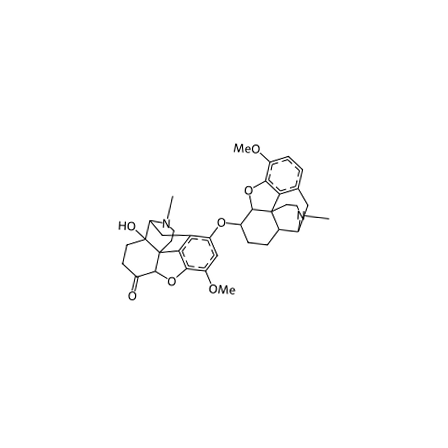 COc1ccc2c3c1OC1C(Oc4cc(OC)c5c6c4CC4N(C)CCC67C(O5)C(=O)CCC47O)CCC4C(C2)N(C)CCC341